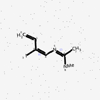 C=C/C(I)=C\N=C(\C)NC